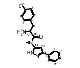 N[C@@H](Cc1ccc(Cl)cc1)C(=O)Nc1cc(-c2ccncc2)n[nH]1